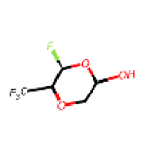 OC1COC(C(F)(F)F)[C@@H](F)O1